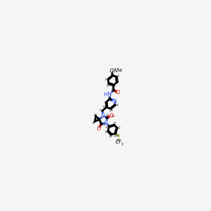 COc1ccc(C(=O)Nc2cc(CN3C(=O)N(c4ccc(SC(F)(F)F)cc4)C(=O)C34CC4)ccn2)cc1